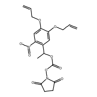 C=CCOc1cc(C(C)OC(=O)ON2C(=O)CCC2=O)c([N+](=O)[O-])cc1OCC=C